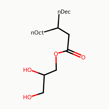 CCCCCCCCCCC(CCCCCCCC)CC(=O)OCC(O)CO